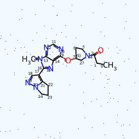 CCC(=O)N1CC[C@H](Oc2ncnc3c2nc(-c2cnn4c2CCC4)n3C)C1